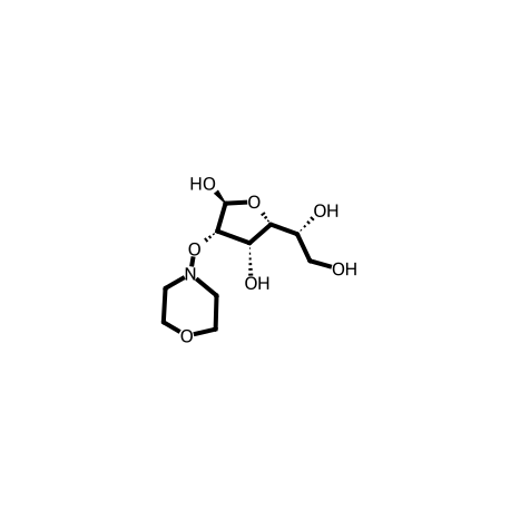 OC[C@@H](O)[C@H]1O[C@H](O)[C@@H](ON2CCOCC2)[C@H]1O